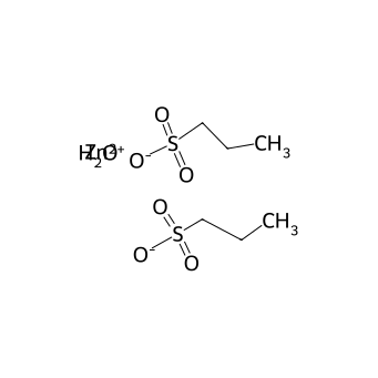 CCCS(=O)(=O)[O-].CCCS(=O)(=O)[O-].O.[Zn+2]